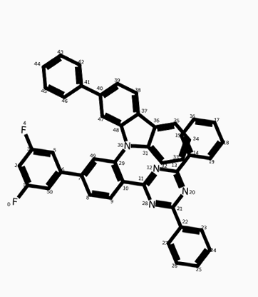 Fc1cc(F)cc(-c2ccc(-c3nc(-c4ccccc4)nc(-c4ccccc4)n3)c(-n3c4ccccc4c4ccc(-c5ccccc5)cc43)c2)c1